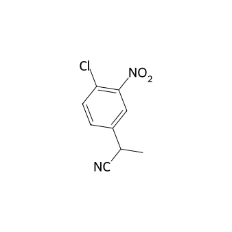 CC(C#N)c1ccc(Cl)c([N+](=O)[O-])c1